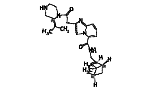 CC(C)[C@H]1CNCCN1C(=O)Cc1cn2c(C(=O)NC[C@@H]3CC[C@@H]4C[C@@H]3C4(C)C)cccc2n1